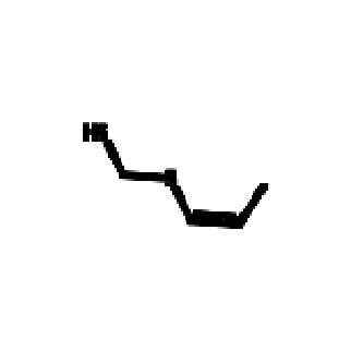 C/C=C\SCS